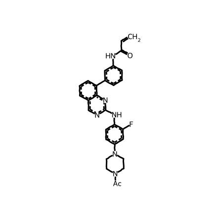 C=CC(=O)Nc1cccc(-c2cccc3cnc(Nc4ccc(N5CCN(C(C)=O)CC5)cc4F)nc23)c1